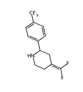 FC(F)=C1CCNC(c2ccc(C(F)(F)F)cc2)C1